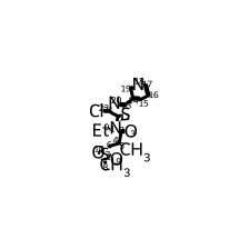 CCN(C(=O)C(C)CS(C)(=O)=O)C1SC(c2cccnc2)=NC1Cl